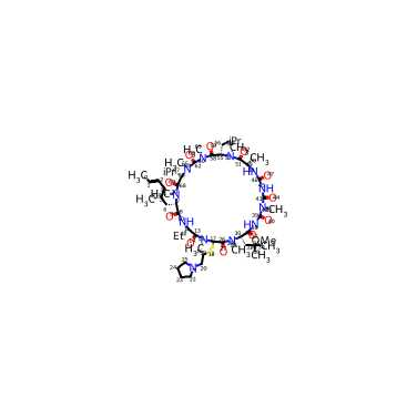 C/C=C/C[C@@H](C)C[C@H]1C(=O)N[C@@H](CC)C(=O)N(C)[C@H](SCCN2CCCC2)C(=O)N(C)[C@@H](CC(C)(C)OC)C(=O)NC(=O)N(C)C(=O)NC(=O)N[C@@H](C)C(=O)N(C)[C@@H](CC(C)C)C(=O)N(C)C(=O)N(C)[C@@H](C(C)C)C(=O)N1C